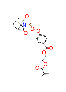 C=C(C)C(=O)OCCOC(=O)c1ccc(OOSN2C(=O)C3CCC(C)(C2=O)C3(C)C)cc1